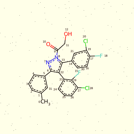 Cc1cccc(-c2nn(C(=O)CO)c(-c3ccc(F)c(Cl)c3)c2-c2cccc(Cl)c2F)c1